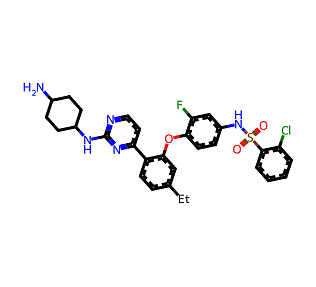 CCc1ccc(-c2ccnc(NC3CCC(N)CC3)n2)c(Oc2ccc(NS(=O)(=O)c3ccccc3Cl)cc2F)c1